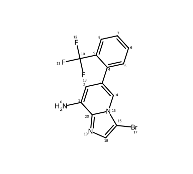 Nc1cc(-c2ccccc2C(F)(F)F)cn2c(Br)cnc12